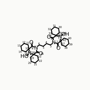 O=C1N(CCCCN2C(=O)C3(CCCCC3)N(O)C3(CCCCC3)C2=O)C(=O)C2(CCCCC2)N(O)C12CCCCC2